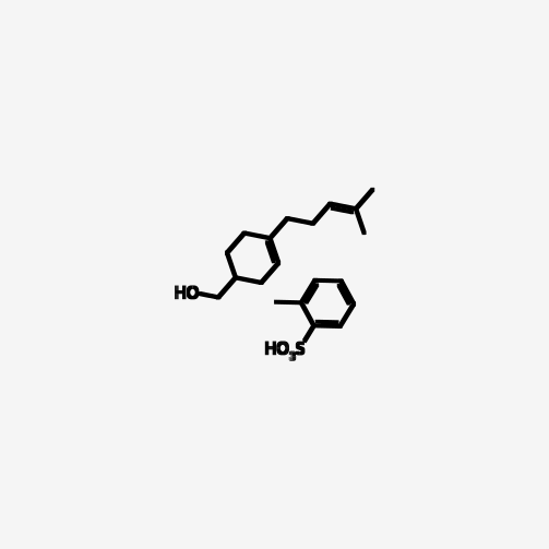 CC(C)=CCCC1=CCC(CO)CC1.Cc1ccccc1S(=O)(=O)O